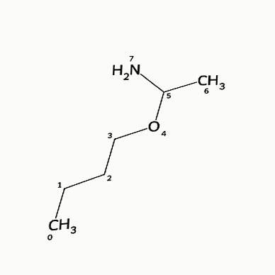 CCCCOC(C)N